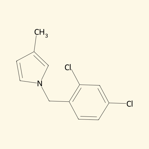 Cc1ccn(Cc2ccc(Cl)cc2Cl)c1